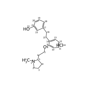 CN1CCCC1CCOc1ccccc1CCc1cccc(O)c1.Cl